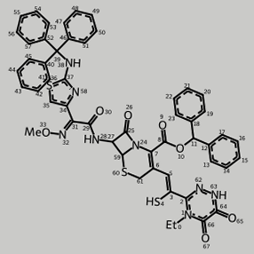 CCn1c(C(S)=CC2=C(C(=O)OC(c3ccccc3)c3ccccc3)N3C(=O)C(NC(=O)C(=NOC)c4csc(NC(c5ccccc5)(c5ccccc5)c5ccccc5)n4)C3SC2)n[nH]c(=O)c1=O